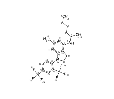 CCCCC(C)Nc1nc(C)nc2c1CCN2c1ccc(C(F)(F)F)cc1C(F)(F)F